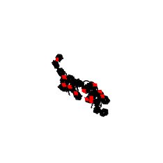 c1ccc(-c2cccc(-c3ccc(-n4c5ccccc5c5c4ccc4c6ccc(-c7cccc8c7oc7cccc(-n9c%10ccccc%10c%10c9ccc9c%11ccccc%11n(-c%11nc(-c%12ccccc%12)nc(-c%12cccc(-c%13ccccc%13)c%12)n%11)c9%10)c78)cc6n(-c6nc(-c7ccccc7)nc(-c7ccccc7)n6)c45)cc3)c2)cc1